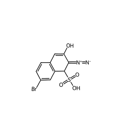 [N-]=[N+]=C1C(O)=Cc2ccc(Br)cc2C1S(=O)(=O)O